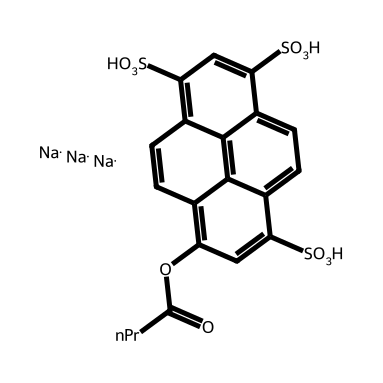 CCCC(=O)Oc1cc(S(=O)(=O)O)c2ccc3c(S(=O)(=O)O)cc(S(=O)(=O)O)c4ccc1c2c43.[Na].[Na].[Na]